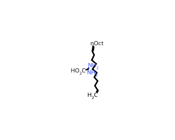 C=CCCCCCCCCC=CCCCCCCCC.NC(N)C(=O)O